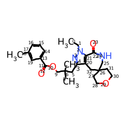 CCn1nc(CC(C)(C)COC(=O)c2cccc(C)c2)c2c1C(=O)NCC1(CCOCC1)C2